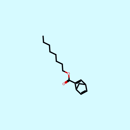 CCCCCCCCOC(=O)C1=CC2C=CC1C2